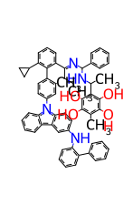 CCC/C(=N\C(NC(C)c1c(O)c(O)c(C)c(O)c1O)c1ccccc1)c1cccc(C2CC2)c1-c1ccc(-n2c3ccccc3c3cc(Nc4ccccc4-c4ccccc4)ccc32)cc1C